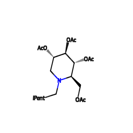 CCCC(C)CN1C[C@H](OC(C)=O)[C@@H](OC(C)=O)[C@H](OC(C)=O)[C@H]1COC(C)=O